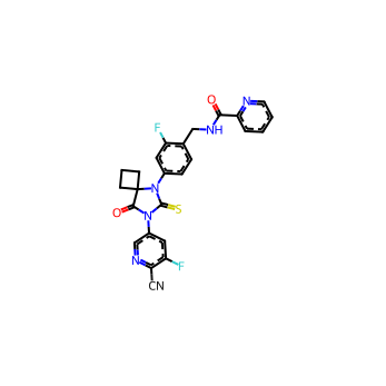 N#Cc1ncc(N2C(=O)C3(CCC3)N(c3ccc(CNC(=O)c4ccccn4)c(F)c3)C2=S)cc1F